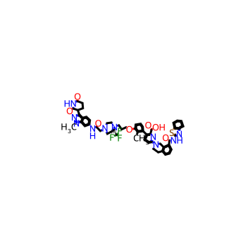 Cc1c(OCCCN2CCN(CC(=O)Nc3ccc4c(C5CCC(=O)NC5=O)nn(C)c4c3)C[C@H]2C(F)(F)F)cccc1-c1ccc(N2CCc3cccc(C(=O)Nc4nc5ccccc5s4)c3C2)nc1C(=O)O